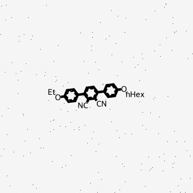 CCCCCCOc1ccc(-c2ccc(-c3ccc(OCC)cc3)c(C#N)c2C#N)cc1